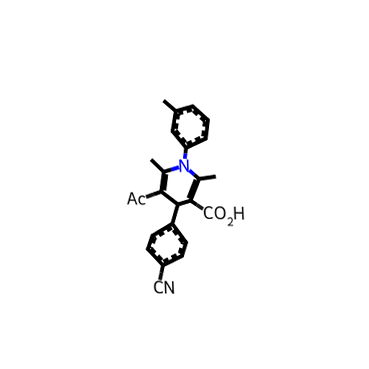 CC(=O)C1=C(C)N(c2cccc(C)c2)C(C)=C(C(=O)O)C1c1ccc(C#N)cc1